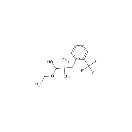 CCOC(O)C(C)(C)Cc1ccccc1C(F)(F)F